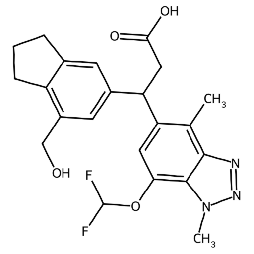 Cc1c(C(CC(=O)O)c2cc(CO)c3c(c2)CCC3)cc(OC(F)F)c2c1nnn2C